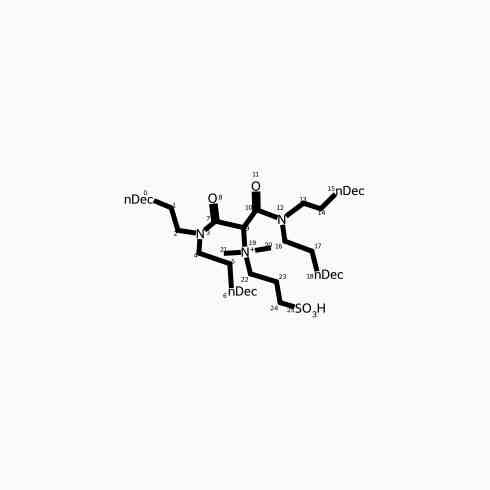 CCCCCCCCCCCCN(CCCCCCCCCCCC)C(=O)C(C(=O)N(CCCCCCCCCCCC)CCCCCCCCCCCC)[N+](C)(C)CCCS(=O)(=O)O